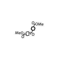 COC(=O)c1ccc(C(=O)N2CCN(C(=O)OC)CC2)cc1